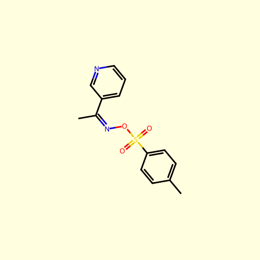 CC(=NOS(=O)(=O)c1ccc(C)cc1)c1cccnc1